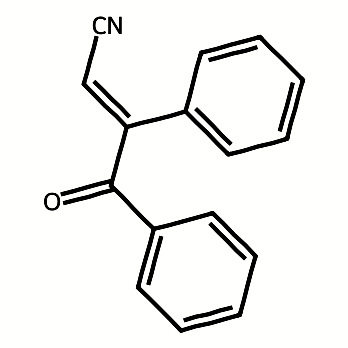 N#CC=C(C(=O)c1ccccc1)c1ccccc1